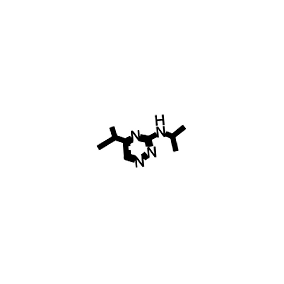 CC(C)Nc1nncc(C(C)C)n1